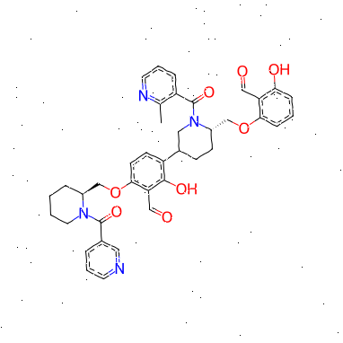 Cc1ncccc1C(=O)N1CC(c2ccc(OC[C@@H]3CCCCN3C(=O)c3cccnc3)c(C=O)c2O)CC[C@H]1COc1cccc(O)c1C=O